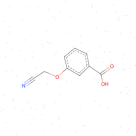 N#CCOc1cccc(C(=O)O)c1